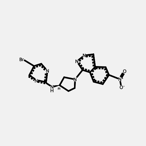 O=[N+]([O-])c1ccc2c(N3CC[C@@H](Nc4ncc(Br)cn4)C3)nncc2c1